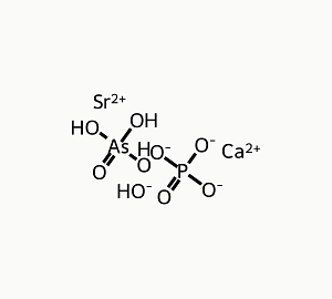 O=P([O-])([O-])[O-].O=[As](O)(O)O.[Ca+2].[OH-].[Sr+2]